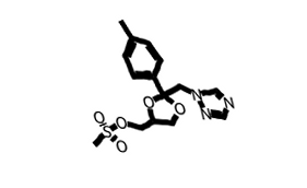 Cc1ccc(C2(Cn3cncn3)OCC(COS(C)(=O)=O)O2)cc1